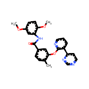 COc1ccc(OC)c(NC(=O)c2ccc(C)c(Oc3ncccc3-c3ccncn3)c2)c1